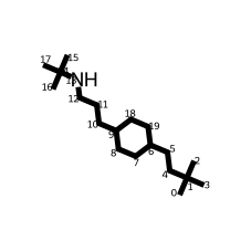 CC(C)(C)CCC1CCC(CCCNC(C)(C)C)CC1